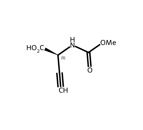 C#C[C@H](NC(=O)OC)C(=O)O